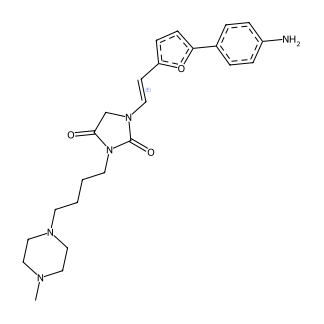 CN1CCN(CCCCN2C(=O)CN(/C=C/c3ccc(-c4ccc(N)cc4)o3)C2=O)CC1